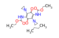 CCCC.CCOC(=O)NC1=C(N2CC2)C(=O)C(NC(=O)OCC)=C(N2CC2)C1=O